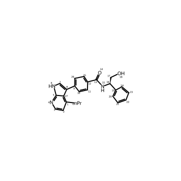 CCCc1ccnc2[nH]cc(-c3ccc(C(=O)N[C@@H](CO)c4ccccc4)cc3)c12